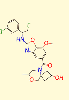 COc1cc(C(=O)N2CC(C)OCC23CC(O)C3)cc2nc(NC(CF)c3cccc(Cl)c3)oc12